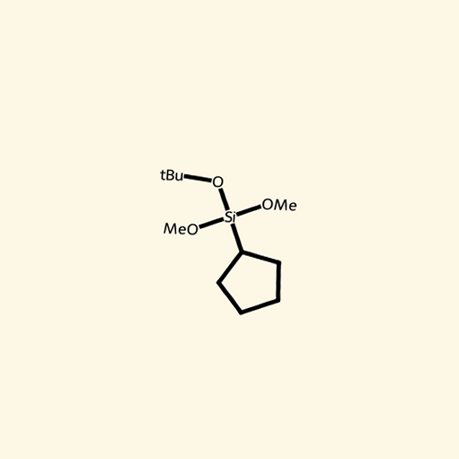 CO[Si](OC)(OC(C)(C)C)C1CCCC1